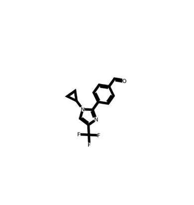 O=Cc1ccc(-c2nc(C(F)(F)F)cn2C2CC2)cc1